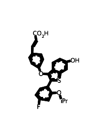 CC(C)Oc1cc(F)ccc1-c1sc2cc(O)ccc2c1Oc1ccc(C=CC(=O)O)cc1